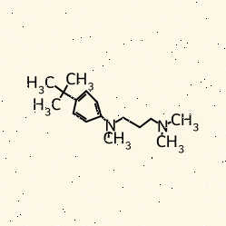 CN(C)CCCN(C)c1ccc(C(C)(C)C)cc1